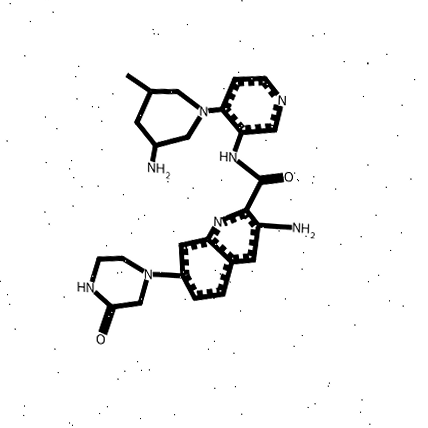 CC1CC(N)CN(c2ccncc2NC(=O)c2nc3cc(N4CCNC(=O)C4)ccc3cc2N)C1